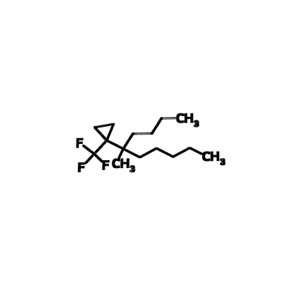 CCCCCC(C)(CCCC)C1(C(F)(F)F)CC1